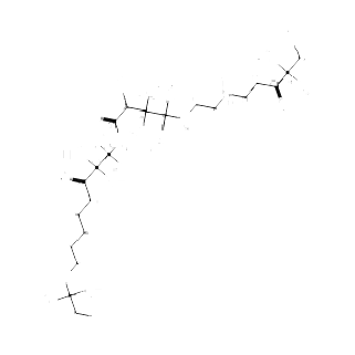 CCC(C)(C)OCCCCCC(=O)C(C)(C)C(C)(C)OC(=O)C(C)C(C)(C)C(C)(C)OCCNCCC(=O)C(C)(C)CC